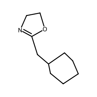 C1CCC(CC2=NCCO2)CC1